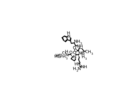 CCNC(=O)[C@@H]1CCCN1C(=O)[C@H](CCCNC(=N)N)NC(=O)[C@H](CC(C)C)NC(=O)[C@H](N)Cc1c[nH]c2ccccc12.Cl.Cl